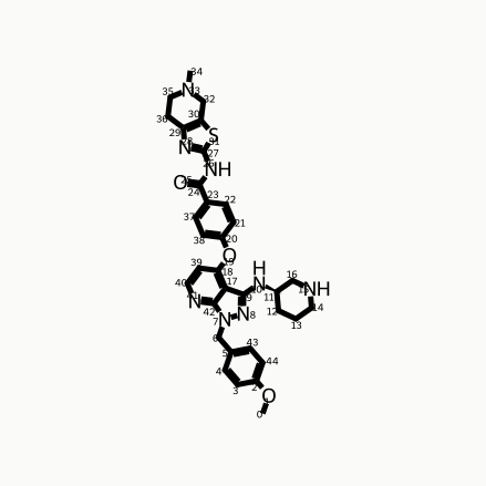 COc1ccc(Cn2nc(N[C@@H]3CCCNC3)c3c(Oc4ccc(C(=O)Nc5nc6c(s5)CN(C)CC6)cc4)ccnc32)cc1